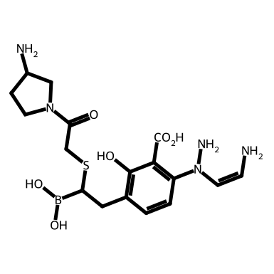 N/C=C\N(N)c1ccc(CC(SCC(=O)N2CCC(N)C2)B(O)O)c(O)c1C(=O)O